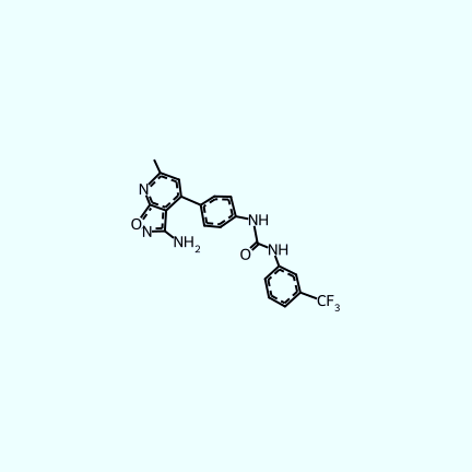 Cc1cc(-c2ccc(NC(=O)Nc3cccc(C(F)(F)F)c3)cc2)c2c(N)noc2n1